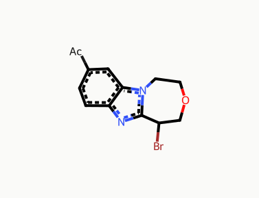 CC(=O)c1ccc2nc3n(c2c1)CCOCC3Br